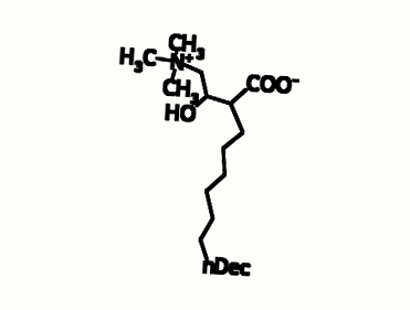 CCCCCCCCCCCCCCCCC(C(=O)[O-])C(O)C[N+](C)(C)C